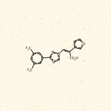 O=C(O)/C(=C\n1cnc(-c2cc(C(F)(F)F)cc(C(F)(F)F)c2)n1)c1ccoc1